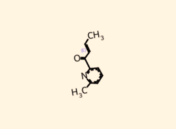 C/C=C/C(=O)c1cccc(C)n1